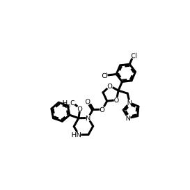 COC1(c2ccccc2)CNCCN1C(=O)OC1COC(Cn2ccnc2)(c2ccc(Cl)cc2Cl)O1